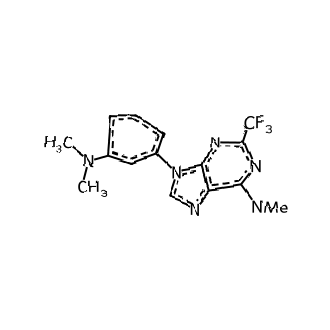 CNc1nc(C(F)(F)F)nc2c1ncn2-c1cccc(N(C)C)c1